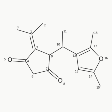 CC(C)=C1C(=O)CC(=O)C1C(C)c1cc(C)oc1C